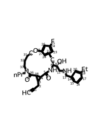 C#CCC1C2C(=O)N[C@H]([C@H](O)CNCc3cccc(CC)c3)Cc3cc(F)cc(c3)OCCCCN(CCC)C(=O)C12